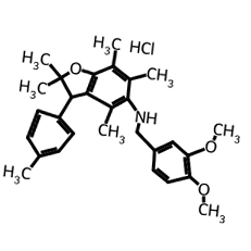 COc1ccc(CNc2c(C)c(C)c3c(c2C)C(c2ccc(C)cc2)C(C)(C)O3)cc1OC.Cl